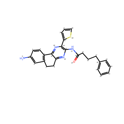 Nc1ccc2c(c1)CCc1nc(NC(=O)CCCc3ccccc3)c(-c3cccs3)nc1-2